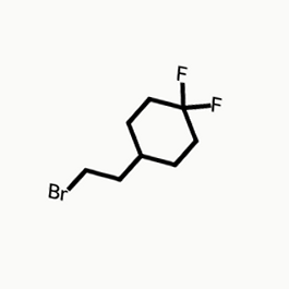 FC1(F)CCC(CCBr)CC1